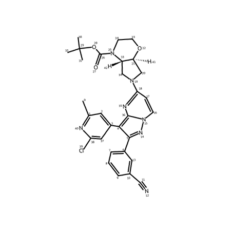 Cc1cc(-c2c(-c3cccc(C#N)c3)nn3ccc(N4C[C@@H]5OCCN(C(=O)OC(C)(C)C)[C@H]5C4)nc23)cc(Cl)n1